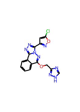 Clc1cc(-c2nnc3c4ccccc4c(OCc4nc[nH]n4)nn23)no1